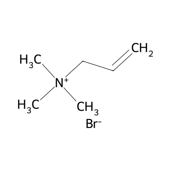 C=CC[N+](C)(C)C.[Br-]